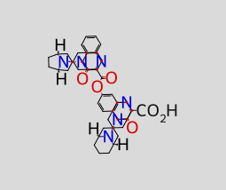 O=C(O)c1nc2cc(OC(=O)c3nc4ccccc4n([C@H]4C[C@H]5CC[C@@H](C4)N5C4CC5CCCC(C5)C4)c3=O)ccc2n([C@H]2C[C@H]3CCC[C@@H](C2)N3C2CC3CCCC(C3)C2)c1=O